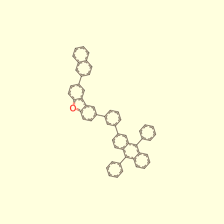 c1ccc(-c2c3ccccc3c(-c3ccccc3)c3cc(-c4cccc(-c5ccc6oc7ccc(-c8ccc9ccccc9c8)cc7c6c5)c4)ccc23)cc1